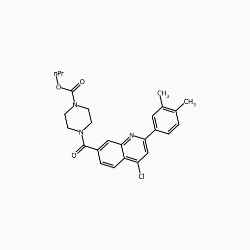 CCCOC(=O)N1CCN(C(=O)c2ccc3c(Cl)cc(-c4ccc(C)c(C)c4)nc3c2)CC1